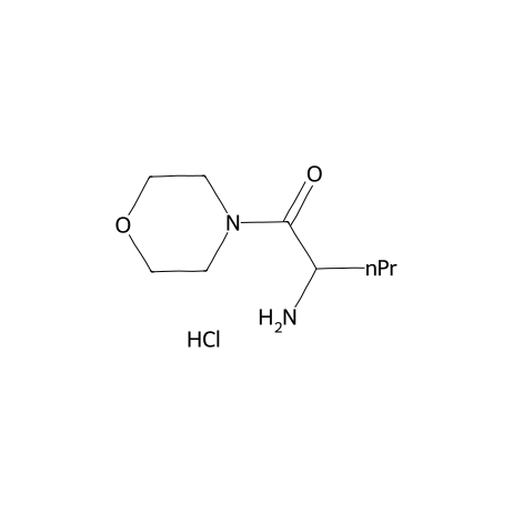 CCCC(N)C(=O)N1CCOCC1.Cl